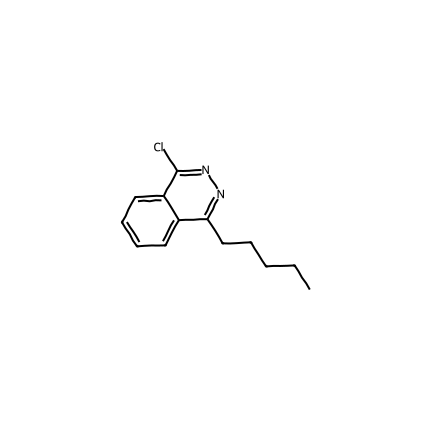 CCCCCc1nnc(Cl)c2ccccc12